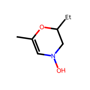 CCC1CN(O)C=C(C)O1